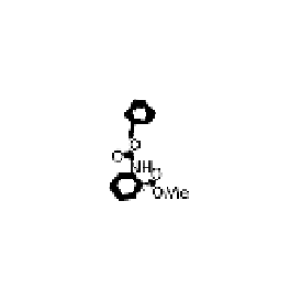 COC(=O)[C@@H]1CC=CC[C@@H]1NC(=O)OCc1ccccc1